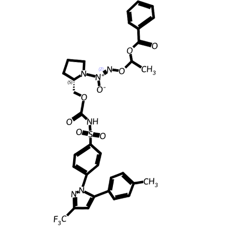 Cc1ccc(-c2cc(C(F)(F)F)nn2-c2ccc(S(=O)(=O)NC(=O)OC[C@@H]3CCCN3/[N+]([O-])=N/OC(C)OC(=O)c3ccccc3)cc2)cc1